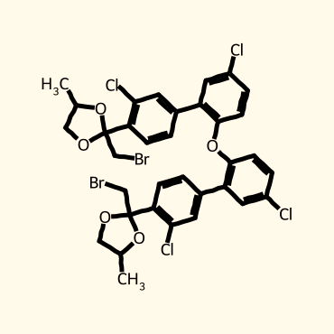 CC1COC(CBr)(c2ccc(-c3cc(Cl)ccc3Oc3ccc(Cl)cc3-c3ccc(C4(CBr)OCC(C)O4)c(Cl)c3)cc2Cl)O1